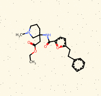 CCOC(=O)CC1(NC(=O)c2ccc(CCc3ccccc3)o2)CCCN(C)C1